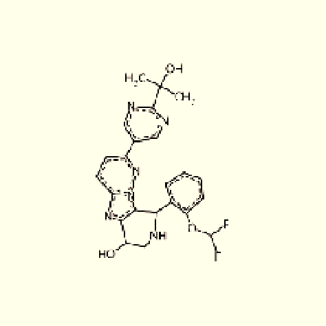 CC(C)(O)c1ncc(-c2ccc3nc4c(n3n2)C(c2ccccc2OC(F)F)NCC4O)cn1